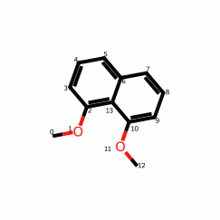 COc1cccc2cccc(OC)c12